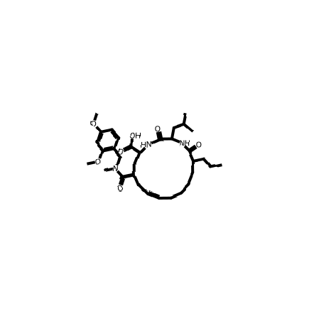 CCCC1CCCCC=CCC(C(=O)N(C)Cc2ccc(OC)cc2OC)CC(C(=O)O)NC(=O)C(CC(C)C)NC1=O